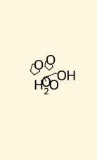 C1CCOC1.C1CCOC1.O.OCC1CO1